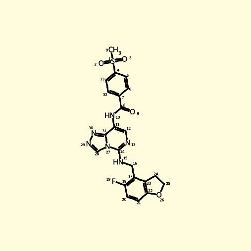 CS(=O)(=O)c1ccc(C(=O)Nc2cnc(NCc3c(F)ccc4c3CCO4)n3cnnc23)cc1